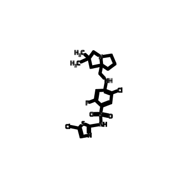 CC1(C)CN2CCCC2(CNc2cc(F)c(S(=O)(=O)Nc3ncc(Cl)s3)cc2Cl)C1